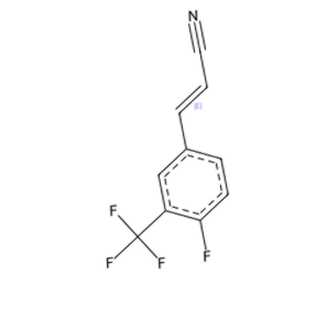 N#C/C=C/c1ccc(F)c(C(F)(F)F)c1